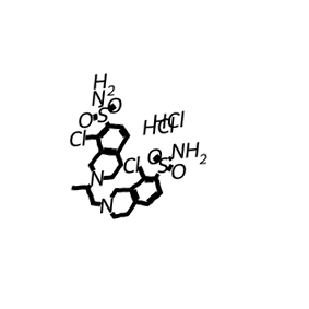 CC(CN1CCc2ccc(S(N)(=O)=O)c(Cl)c2C1)N1CCc2ccc(S(N)(=O)=O)c(Cl)c2C1.Cl.Cl